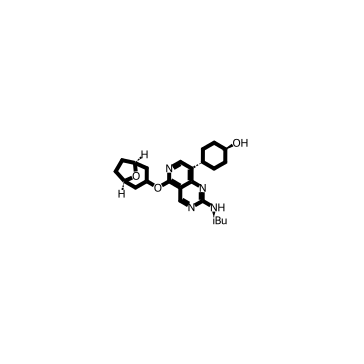 CC[C@H](C)Nc1ncc2c(OC3C[C@H]4CC[C@@H](C3)O4)ncc([C@H]3CC[C@H](O)CC3)c2n1